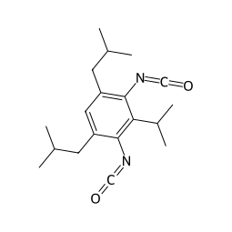 CC(C)Cc1cc(CC(C)C)c(N=C=O)c(C(C)C)c1N=C=O